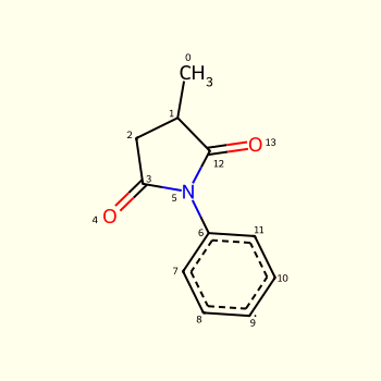 CC1CC(=O)N(c2cc[c]cc2)C1=O